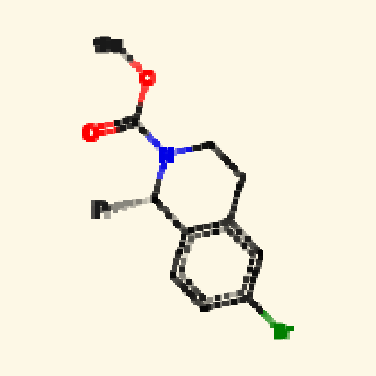 CC(C)[C@H]1c2ccc(Br)cc2CCN1C(=O)OC(C)(C)C